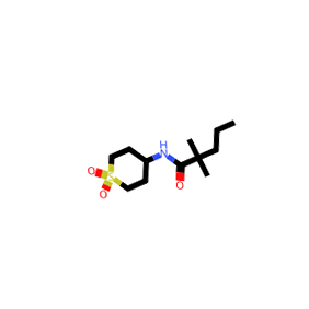 CCCC(C)(C)C(=O)NC1CCS(=O)(=O)CC1